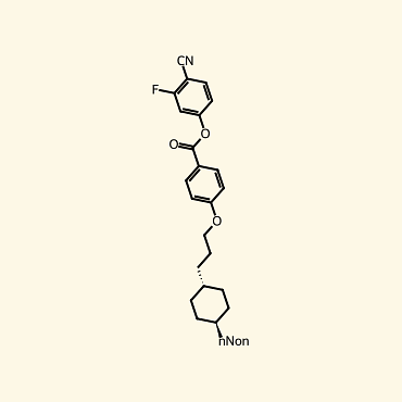 CCCCCCCCC[C@H]1CC[C@H](CCCOc2ccc(C(=O)Oc3ccc(C#N)c(F)c3)cc2)CC1